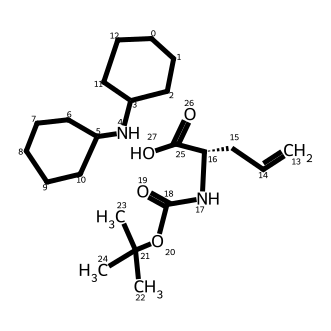 C1CCC(NC2CCCCC2)CC1.C=CC[C@H](NC(=O)OC(C)(C)C)C(=O)O